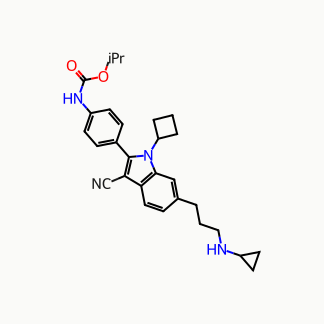 CC(C)OC(=O)Nc1ccc(-c2c(C#N)c3ccc(CCCNC4CC4)cc3n2C2CCC2)cc1